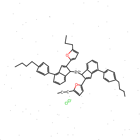 CCCCc1ccc(-c2cccc3c2C=C(c2ccc(CCC)o2)[CH]3[Zr+2][CH]2C(c3ccc(CCC)o3)=Cc3c(-c4ccc(CCCC)cc4)cccc32)cc1.[Cl-].[Cl-]